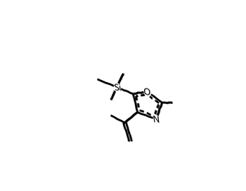 C=C(C)c1nc(C)oc1[Si](C)(C)C